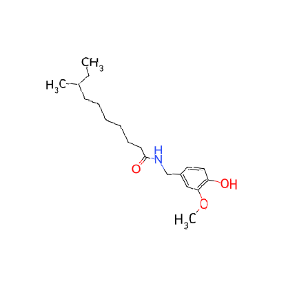 CCC(C)CCCCCCC(=O)NCc1ccc(O)c(OC)c1